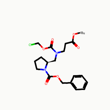 CC(C)(C)OC(=O)CCN(C[C@@H]1CCCN1C(=O)OCc1ccccc1)C(=O)OCCl